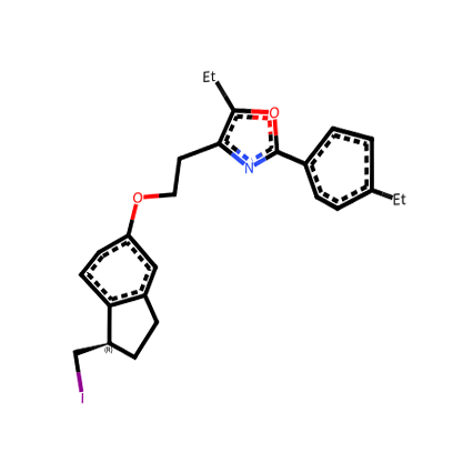 CCc1ccc(-c2nc(CCOc3ccc4c(c3)CC[C@H]4CI)c(CC)o2)cc1